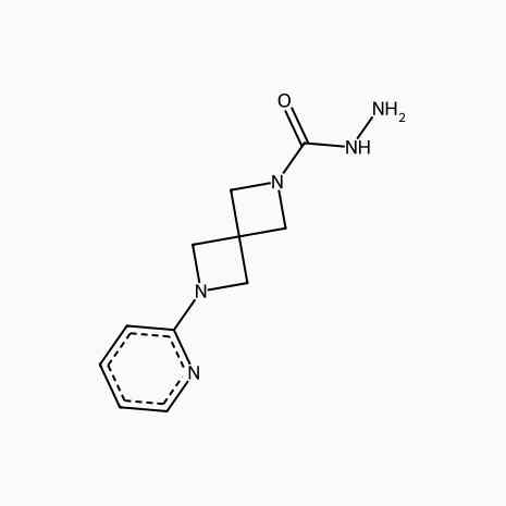 NNC(=O)N1CC2(C1)CN(c1ccccn1)C2